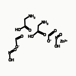 NCC(=O)O.NCC(=O)O.O=C[O-].O=C[O-].O=NO.O=NO.[Zn+2]